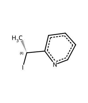 C[C@@H](I)c1ccccn1